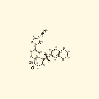 N#Cc1ccc(-c2ccc3c(c2)N(S(=O)(=O)c2ccc4c(c2)CCCC4)CCS3(=O)=O)s1